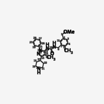 COCc1ccc(C)c(CNC(=O)Nc2c(C)c(C3CCNCC3)nn2-c2ccccc2)c1